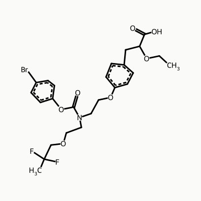 CCOC(Cc1ccc(OCCN(CCOCC(C)(F)F)C(=O)Oc2ccc(Br)cc2)cc1)C(=O)O